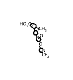 Cn1c2c(c3ccc(-n4ccc(OCc5ccc(C(F)(F)F)nc5)cc4=O)cc31)C1CCC(C2)N1C(=O)O